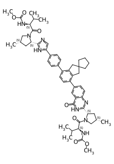 COC(=O)N[C@H](C(=O)N1C[C@@H](C)C[C@H]1c1ncc(-c2ccc(-c3ccc(-c4ccc5nc([C@@H]6C[C@H](C)CN6C(=O)[C@@H](NC(=O)OC)C(C)C)[nH]c(=O)c5c4)c4c3CC3(CCCC3)C4)cc2)[nH]1)C(C)C